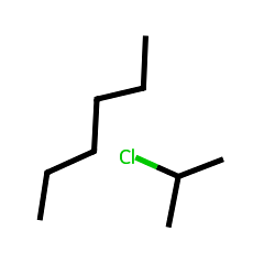 CC(C)Cl.CCCCCC